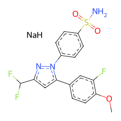 COc1ccc(-c2cc(C(F)F)nn2-c2ccc(S(N)(=O)=O)cc2)cc1F.[NaH]